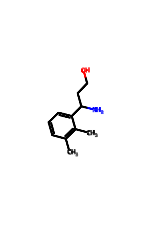 Cc1cccc(C(N)CCO)c1C